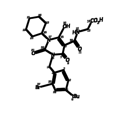 CC(C)(C)c1ccc(Cn2c(=O)c(C(=O)NCC(=O)O)c(O)n(C3CCCCC3)c2=O)c(Br)c1